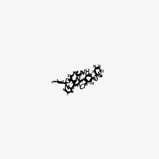 CC#CC(=O)N1CCCC1c1cc(-c2ccc(Oc3ccccn3)cc2Cl)n2c(N)nccc12